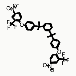 CC(C)(c1ccc(Oc2ccc([N+](=O)[O-])cc2C(F)(F)F)cc1)c1cccc(C(C)(C)c2ccc(Oc3ccc([N+](=O)[O-])cc3C(F)(F)F)cc2)c1